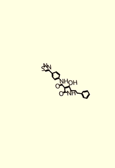 O=C(Nc1ccc(-c2csnn2)cc1)C1=C(O)C(CCc2ccccc2)NC1=O